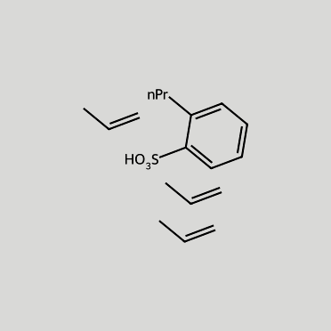 C=CC.C=CC.C=CC.C[CH]Cc1ccccc1S(=O)(=O)O